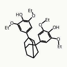 CCOc1cc(C23CC4CC(C2)CC(c2cc(OCC)c(O)c(OCC)c2)(C4)C3)cc(OCC)c1O